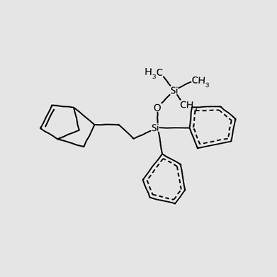 C[Si](C)(C)O[Si](CCC1CC2C=CC1C2)(c1ccccc1)c1ccccc1